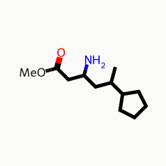 COC(=O)CC(N)CC(C)C1CCCC1